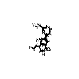 Nc1nccc(-c2cc3c([nH]2)[C@H](CCF)CNC3=O)n1